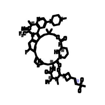 CO[C@@H](C)c1ncc(N2CCN(C)CC2)cc1-c1c2c3cc(c(F)cc3n1CC(F)(F)F)-c1csc(n1)C[C@H](NC(=O)[C@H](C(C)C)N(C)C(=O)N1CC(/C=C/S(C)(=O)=O)C1)C(=O)N1CCC[C@H](N1)C(=O)OCC(C)(C)C2